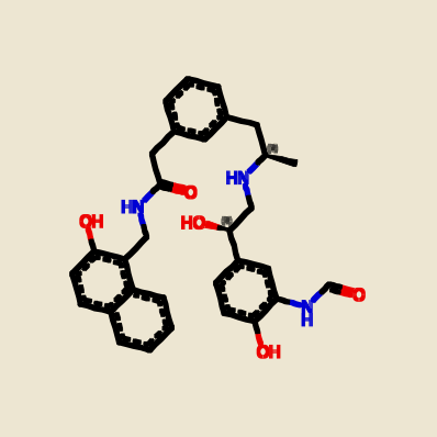 C[C@H](Cc1cccc(CC(=O)NCc2c(O)ccc3ccccc23)c1)NC[C@H](O)c1ccc(O)c(NC=O)c1